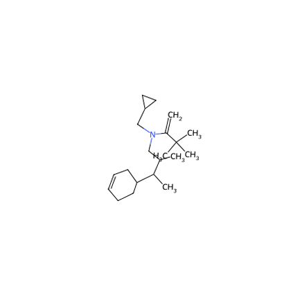 C=C(N(CC1CC1)CC(C)C(C)C1CC=CCC1)C(C)(C)C